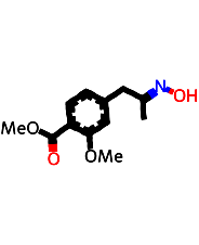 COC(=O)c1ccc(C/C(C)=N/O)cc1OC